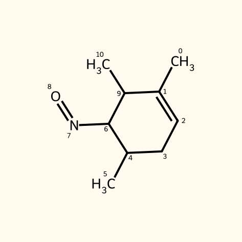 CC1=CCC(C)C(N=O)C1C